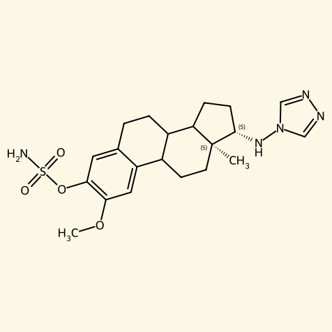 COc1cc2c(cc1OS(N)(=O)=O)CCC1C2CC[C@@]2(C)C1CC[C@@H]2Nn1cnnc1